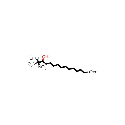 CCCCCCCCCCCCCCCCCCCCCC(O)C([C]=O)([N+](=O)[O-])[N+](=O)[O-]